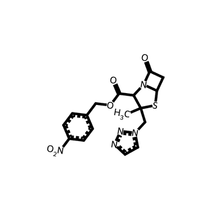 CC1(Cn2ccnn2)SC2CC(=O)N2C1C(=O)OCc1ccc([N+](=O)[O-])cc1